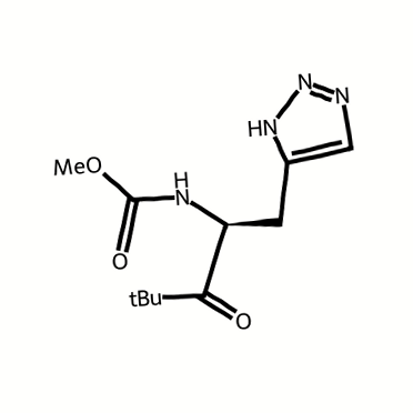 COC(=O)N[C@@H](Cc1cnn[nH]1)C(=O)C(C)(C)C